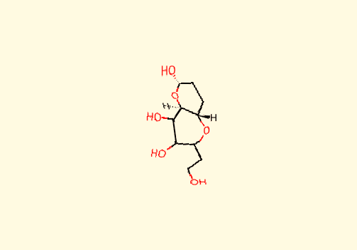 OCCC1O[C@H]2CC[C@@H](O)O[C@@H]2C(O)C1O